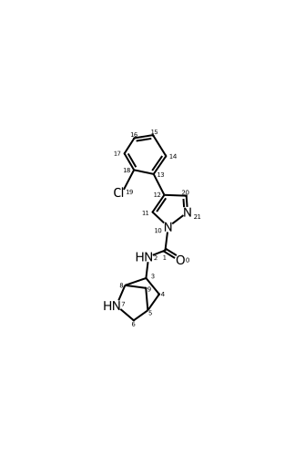 O=C(NC1CC2CNC1C2)n1cc(-c2ccccc2Cl)cn1